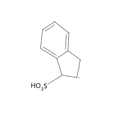 O=S(=O)(O)C1[CH]Cc2ccccc21